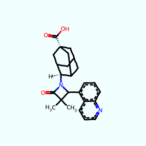 CC1(C)C(=O)N([C@H]2C3CC4CC2C[C@](C(=O)O)(C4)C3)C1c1cccc2ncccc12